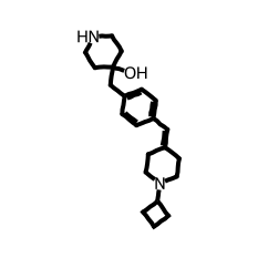 OC1(Cc2ccc(C=C3CCN(C4CCC4)CC3)cc2)CCNCC1